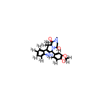 [2H]c1c([2H])c(C2c3[nH]c4c([2H])c([2H])c([2H])c([2H])c4c3C([2H])([2H])[C@]3([2H])C(=O)N(C)CC(=O)N23)c([2H])c2c1OC([2H])([2H])O2